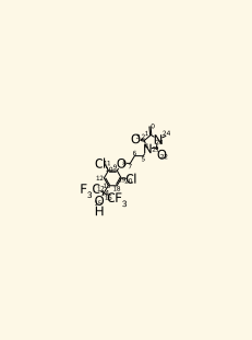 C=C1C(=O)N(CCCOc2c(Cl)cc(C(O)(C(F)(F)F)C(F)(F)F)cc2Cl)C(=O)N1C